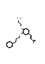 CCN(CC)CCSc1ccc(C=CC(=O)OC)cc1NCCCc1ccccc1